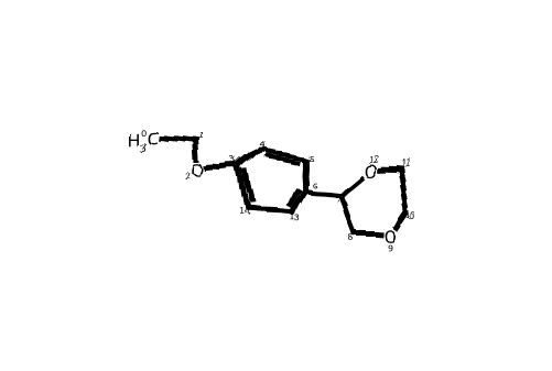 CCOc1ccc(C2COCCO2)cc1